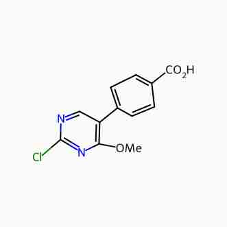 COc1nc(Cl)ncc1-c1ccc(C(=O)O)cc1